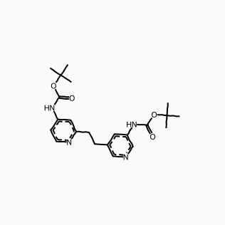 CC(C)(C)OC(=O)Nc1cncc(CCc2cc(NC(=O)OC(C)(C)C)ccn2)c1